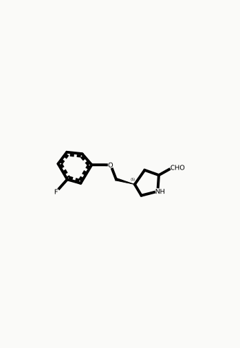 O=CC1C[C@H](COc2cccc(F)c2)CN1